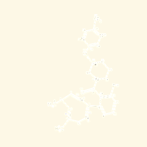 C/C1=C\C(C)/C=N\C(c2cccc(F)c2C(=O)N2CCC[C@@H](Oc3cnc(C(F)(F)F)cn3)C2)=N/C1